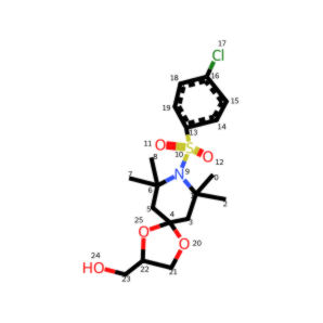 CC1(C)CC2(CC(C)(C)N1S(=O)(=O)c1ccc(Cl)cc1)OCC(CO)O2